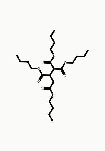 CCCCOC(=O)CC(C(=O)OCCCC)C(C(=O)OCCCC)C(=O)OCCCC